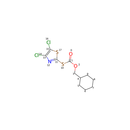 O=C(OCC1CCCCC1)Sc1nc(Cl)c(Cl)s1